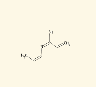 C=C/C(S)=N\C=C/C